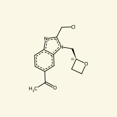 CC(=O)c1ccc2nc(CCl)n(C[C@@H]3CCO3)c2c1